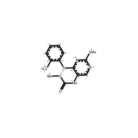 CSc1ncc(NC(=O)OC(C)(C)C)c(Oc2ccccc2C)n1